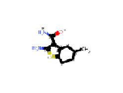 CC1CCc2sc(N)c(C(N)=O)c2C1